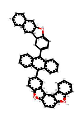 C1=C(c2c3ccccc3c(-c3ccc4oc5ccc6oc7ccccc7c6c5c4c3)c3ccccc23)CC2C(=C1)Oc1cc3ccccc3cc12